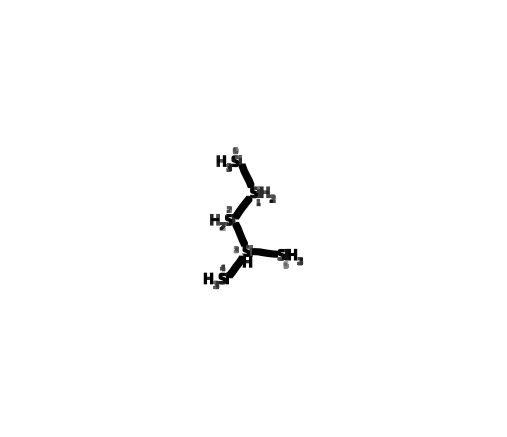 [SiH3][SiH2][SiH2][SiH]([SiH3])[SiH3]